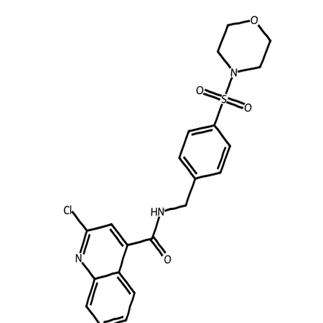 O=C(NCc1ccc(S(=O)(=O)N2CCOCC2)cc1)c1cc(Cl)nc2ccccc12